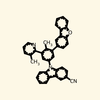 Cc1cccnc1-c1cc(-n2c3ccccc3c3cc(C#N)ccc32)cc(-c2ccc3oc4ccccc4c3c2)c1C